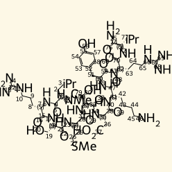 CN[C@@H](CC(C)C)C(=O)N[C@@H](CCCNC(=N)N)C(=O)N[C@@H](CO)C(=O)N[C@@H](CCSC)C(=O)N[C@H](C(=O)N[C@@H](CC(=O)O)C(=O)N[C@@H](CCCCN)C(=O)N[C@@H](Cc1ccc(O)cc1)C(=O)N[C@@H](CCCNC(=N)N)C(=O)N[C@H](C(N)=O)C(C)C)[C@@H](C)O